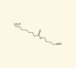 CCCCCCCCCCCCCCOC(=O)CCCCCCCC(=O)O